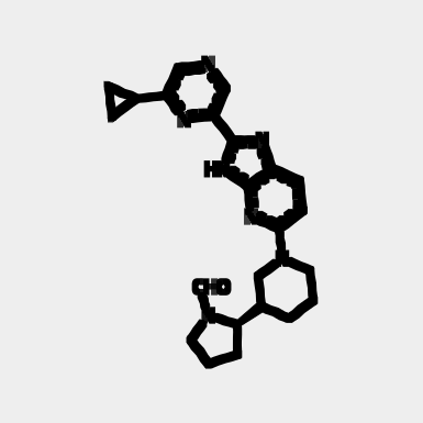 O=CN1CCC[C@@H]1C1CCCN(c2ccc3nc(-c4cncc(C5CC5)n4)[nH]c3n2)C1